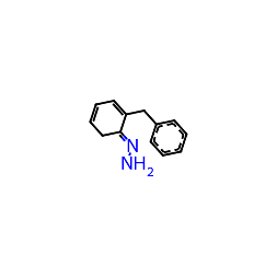 NN=C1CC=CC=C1Cc1ccccc1